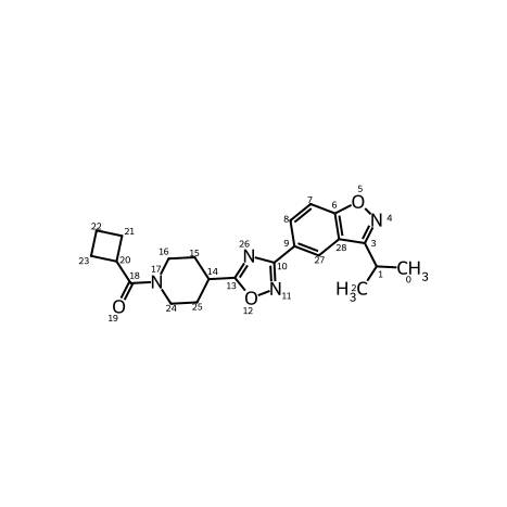 CC(C)c1noc2ccc(-c3noc(C4CCN(C(=O)C5CCC5)CC4)n3)cc12